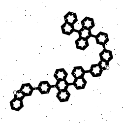 c1cc(-c2ccc3oc4ccc(-c5cccc6c(-c7c8ccccc8c(-c8ccc(-c9ccc%10oc%11ccccc%11c%10c9)cc8)c8ccccc78)cccc56)cc4c3c2)cc(-c2c3ccccc3c(-c3cccc4ccccc34)c3ccccc23)c1